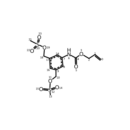 C=CCOC(=O)Nc1cc(COS(C)(=O)=O)cc(COS(C)(=O)=O)c1